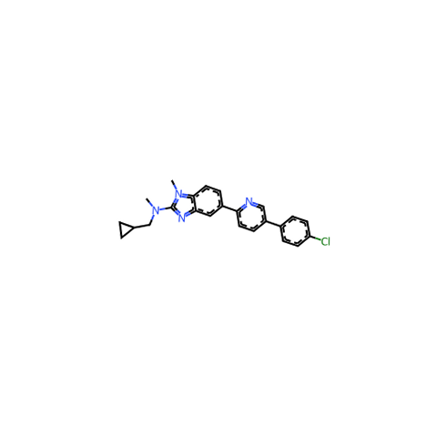 CN(CC1CC1)c1nc2cc(-c3ccc(-c4ccc(Cl)cc4)cn3)ccc2n1C